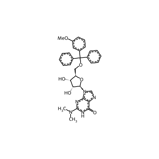 COc1cccc(C(OC[C@H]2O[C@@H](n3cnc4c(=O)[nH]c(N(C)C)nc43)[C@H](O)[C@@H]2O)(c2ccccc2)c2ccccc2)c1